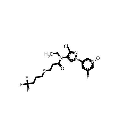 CCN(C(=O)CCSCCCC(F)(F)F)c1cn(-c2cc(F)c[n+]([O-])c2)nc1Cl